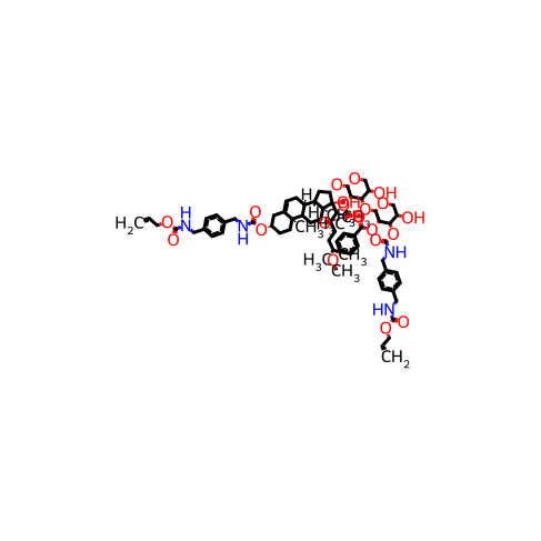 C=CCOC(=O)NCc1ccc(CNC(=O)OC2C(O)COC(OC3C(O)COC(O[C@H]4C[C@H]5[C@@H]6CC=C7C[C@@H](OC(=O)NCc8ccc(CNC(=O)OCC=C)cc8)CC[C@]7(C)C6CC[C@]5(C)[C@@]4(O)[C@H](C)C(=O)CCC(C)C)C3OC(C)=O)C2OC(=O)c2ccc(OC)cc2)cc1